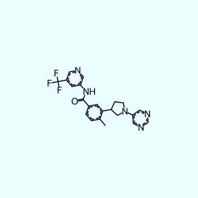 Cc1ccc(C(=O)Nc2cncc(C(F)(F)F)c2)cc1C1CCN(c2cncnc2)C1